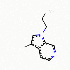 COCCn1cc(C(=O)O)c2ccncc21